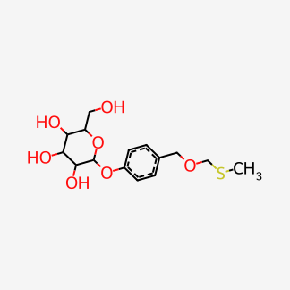 CSCOCc1ccc(OC2OC(CO)C(O)C(O)C2O)cc1